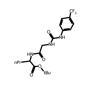 CCCC(NC(=O)CNC(=O)Nc1ccc(C(F)(F)F)cc1)C(=O)OC(C)(C)C